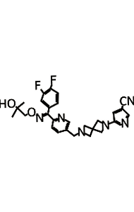 CC(C)(O)CO/N=C(\c1ccc(F)c(F)c1)c1ccc(CN2CC3(C2)CN(c2cncc(C#N)c2)C3)cn1